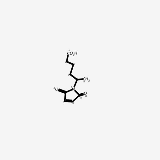 CC(CCCC(=O)O)N1C(=O)C=CC1=O